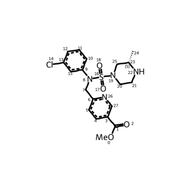 COC(=O)c1ccc(CN(c2cccc(Cl)c2)S(=O)(=O)N2CCN[C@@H](C)C2)nc1